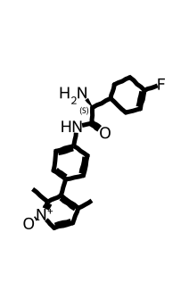 Cc1cc[n+]([O-])c(C)c1-c1ccc(NC(=O)[C@@H](N)C2CC=C(F)CC2)cc1